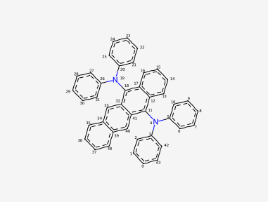 c1ccc(N(c2ccccc2)c2c3ccccc3c(N(c3ccccc3)c3ccccc3)c3cc4ccccc4cc23)cc1